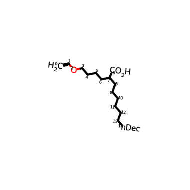 C=COCCCCC(CCCCCCCCCCCCCCCC)C(=O)O